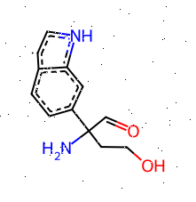 NC(C=O)(CCO)c1ccc2[c]c[nH]c2c1